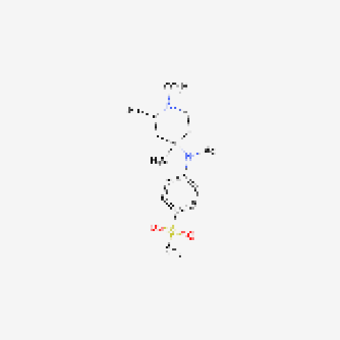 CC(=O)N(c1ccc(S(C)(=O)=O)cc1)C1(C)CCN(C(=O)O)C(C(C)(C)C)C1